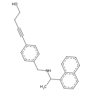 CC(NCc1ccc(C#CCCO)cc1)c1cccc2ccccc12